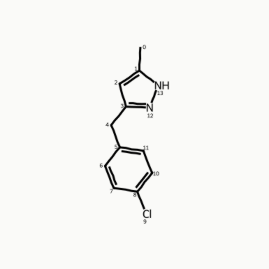 Cc1cc(Cc2ccc(Cl)cc2)n[nH]1